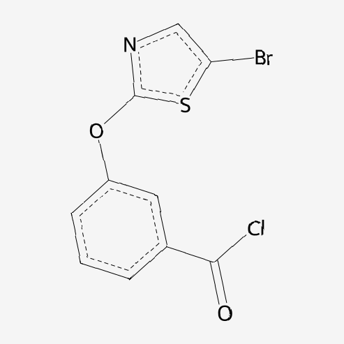 O=C(Cl)c1cccc(Oc2ncc(Br)s2)c1